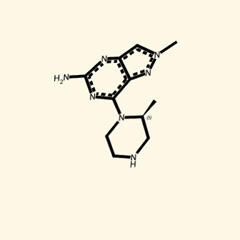 C[C@H]1CNCCN1c1nc(N)nc2cn(C)nc12